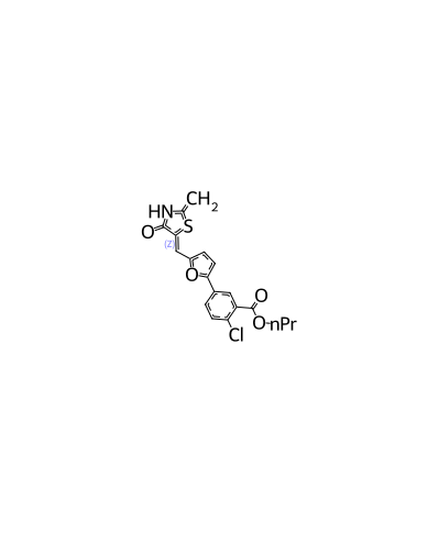 C=c1[nH]c(=O)/c(=C/c2ccc(-c3ccc(Cl)c(C(=O)OCCC)c3)o2)s1